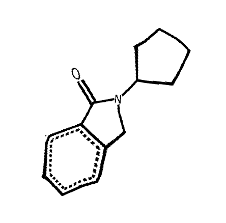 O=C1c2[c]cccc2CN1C1CCCC1